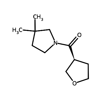 CC1(C)CCN(C(=O)[C@H]2CCOC2)C1